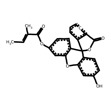 CC=C(C)C(=O)Oc1ccc2c(c1)Oc1cc(O)ccc1C21OC(=O)c2ccccc21